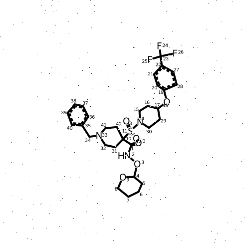 O=C(NOC1CCCCO1)C1(S(=O)(=O)N2CCC(Oc3ccc(C(F)(F)F)cc3)CC2)CCN(Cc2ccccc2)CC1